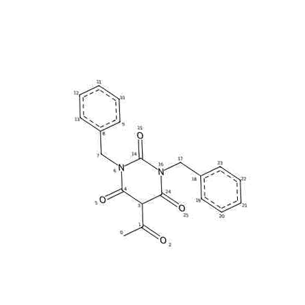 CC(=O)C1C(=O)N(Cc2ccccc2)C(=O)N(Cc2ccccc2)C1=O